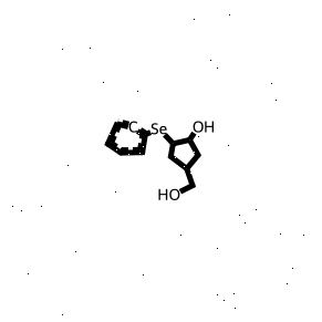 OCC1CC(O)C([Se]c2ccccc2)C1